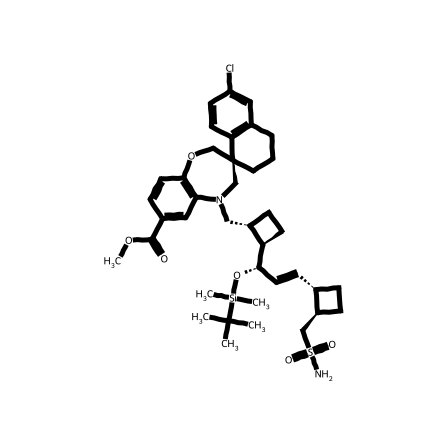 COC(=O)c1ccc2c(c1)N(C[C@@H]1CC[C@H]1[C@H](/C=C/[C@@H]1CC[C@H]1CS(N)(=O)=O)O[Si](C)(C)C(C)(C)C)C[C@@]1(CCCc3cc(Cl)ccc31)CO2